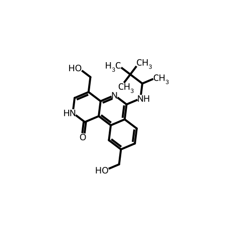 CC(Nc1nc2c(CO)c[nH]c(=O)c2c2cc(CO)ccc12)C(C)(C)C